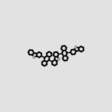 c1ccc2c(c1)oc1cc(-c3c4ccccc4c(-c4cccc5c4oc4cccc(-c6c7ccccc7c(-c7ccc8c(c7)oc7ccccc78)c7ccccc67)c45)c4ccccc34)ccc12